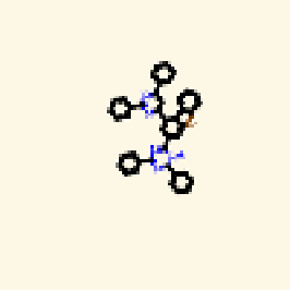 c1ccc(C2=NC(c3ccccc3)NC(c3cc(-c4cc(-c5ccccc5)nc(-c5ccccc5)n4)c4c(c3)sc3ccccc34)=N2)cc1